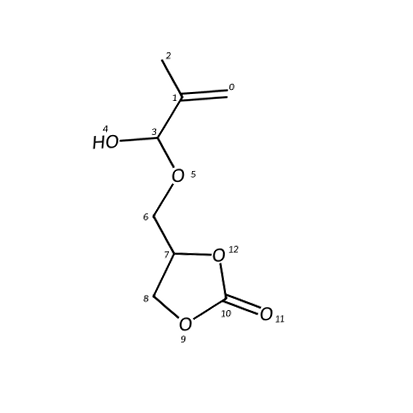 C=C(C)C(O)OCC1COC(=O)O1